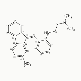 CN(C)CCNc1ccccc1C=C1c2ccccc2-c2ccc([N+](=O)[O-])cc21